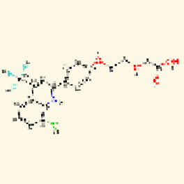 O=C(O)COCCOc1ccc(-c2cc(C(F)(F)F)c3cccc(Cl)c3n2)cc1